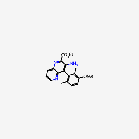 CCOC(=O)c1nc2cccnc2c(-c2c(C)ccc(OC)c2C)c1N